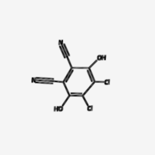 N#Cc1c(O)c(Cl)c(Cl)c(O)c1C#N